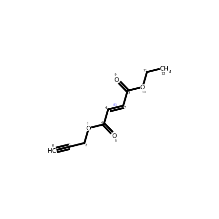 C#CCOC(=O)/C=C/C(=O)OCC